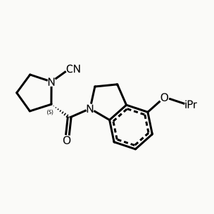 CC(C)Oc1cccc2c1CCN2C(=O)[C@@H]1CCCN1C#N